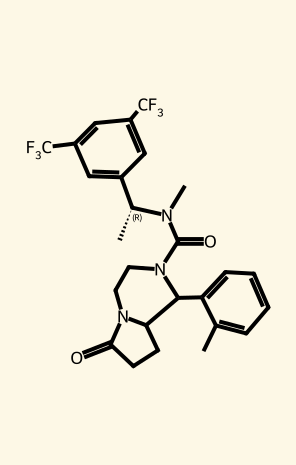 Cc1ccccc1C1C2CCC(=O)N2CCN1C(=O)N(C)[C@H](C)c1cc(C(F)(F)F)cc(C(F)(F)F)c1